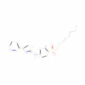 CCCCCCCCS(=O)(=O)c1ccc(Nc2nc(-c3cccnc3)cs2)cc1